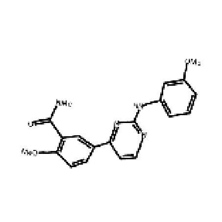 CNC(=O)c1cc(-c2ccnc(Nc3cccc(OC)c3)n2)ccc1OC